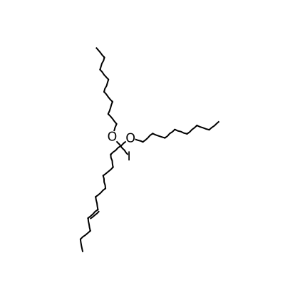 CCCC=CCCCCCC(I)(OCCCCCCCC)OCCCCCCCC